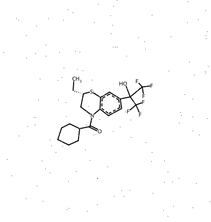 CC[C@H]1CN(C(=O)C2CCCCC2)c2ccc(C(O)(C(F)(F)F)C(F)(F)F)cc2S1